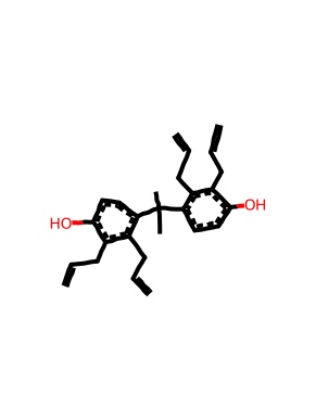 C=CCc1c(O)ccc(C(C)(C)c2ccc(O)c(CC=C)c2CC=C)c1CC=C